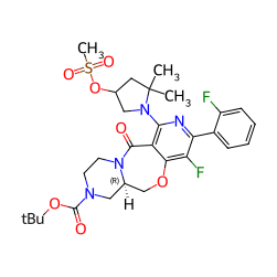 CC(C)(C)OC(=O)N1CCN2C(=O)c3c(N4CC(OS(C)(=O)=O)CC4(C)C)nc(-c4ccccc4F)c(F)c3OC[C@H]2C1